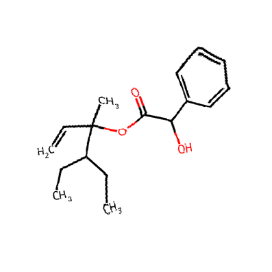 C=CC(C)(OC(=O)C(O)c1ccccc1)C(CC)CC